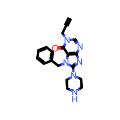 C#CCn1cnc2nc(N3CCNCC3)n(Cc3ccccc3)c2c1=O